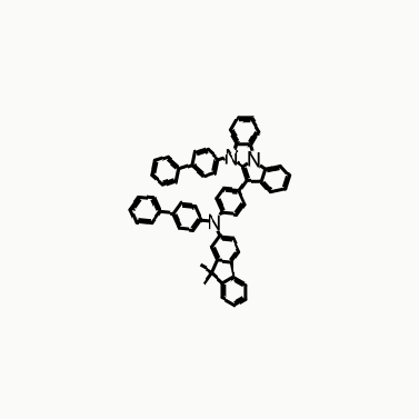 CC1(C)c2ccccc2-c2ccc(N(c3ccc(-c4ccccc4)cc3)c3ccc(-c4c5ccccc5n5c6ccccc6n(-c6ccc(-c7ccccc7)cc6)c45)cc3)cc21